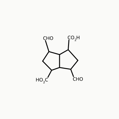 O=CC1CC(C(=O)O)C2C(C=O)CC(C(=O)O)C12